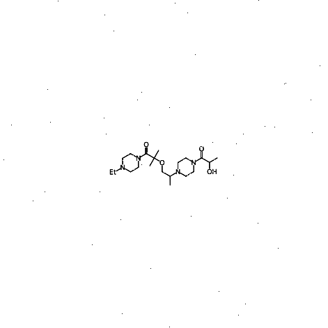 CCN1CCN(C(=O)C(C)(C)OCC(C)N2CCN(C(=O)C(C)O)CC2)CC1